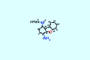 CCCCCCN(C)c1ccc(N)c2oc3ccccc3c12